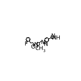 CC1CC(Cn2cnc3cc(-c4cn[nH]c4)ccc32)CN1C(=O)CCc1ccccc1F